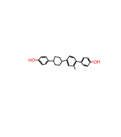 Cc1cc(C2CCC(c3ccc(O)cc3)CC2)ccc1-c1ccc(O)cc1